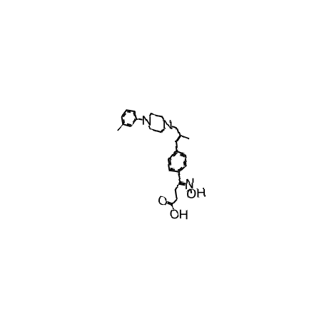 Cc1cccc(N2CCN(CC(C)Cc3ccc(C(CCC(=O)O)=NO)cc3)CC2)c1